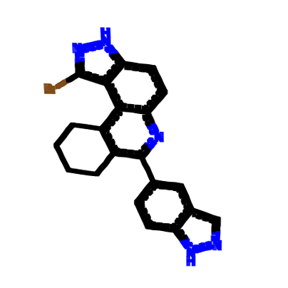 Brc1n[nH]c2ccc3nc(-c4ccc5[nH]ncc5c4)c4c(c3c12)CCCC4